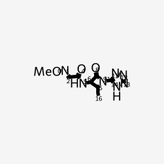 CON=CC(=O)NC1C(=O)N(c2nnn[nH]2)C1C